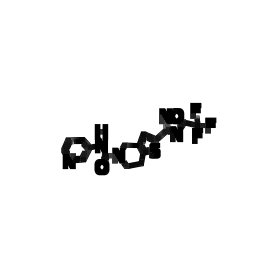 O=C(Nc1cccnc1)N1CCc2sc(-c3noc(C(F)(F)F)n3)cc2C1